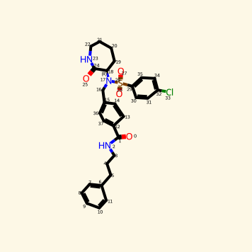 O=C(NCCCc1ccccc1)c1ccc(CN([C@@H]2CCCCNC2=O)S(=O)(=O)c2ccc(Cl)cc2)cc1